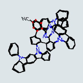 N#Cc1cccc(-c2ccc(-n3c4ccccc4c4cc5c6ccccc6n(-c6ccccc6)c5cc43)c(-c3cccc(-n4c5ccccc5c5cc6c7ccccc7n(-c7ccccc7)c6cc54)c3-c3nc(-c4ccccc4)nc(-c4ccccc4)n3)c2)c1